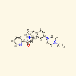 CN1CCN(c2ccc3c(c2)[C@H]2CC3CCN2C(=O)c2ccccn2)CC1